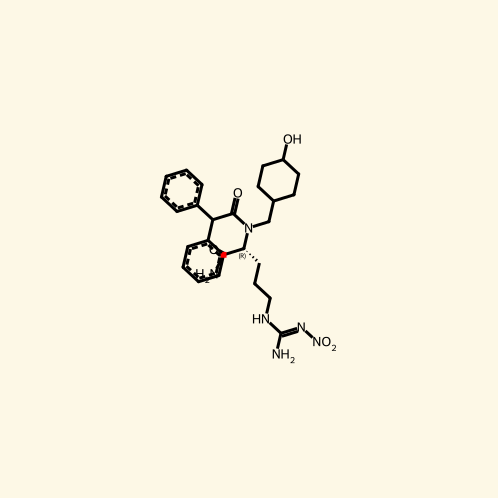 NC(=O)[C@@H](CCCNC(N)=N[N+](=O)[O-])N(CC1CCC(O)CC1)C(=O)C(c1ccccc1)c1ccccc1